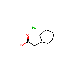 Cl.O=C(O)CC1CCCCC1